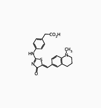 CN1CCCc2cc(/C=C3\SC(Nc4ccc(CC(=O)O)cc4)=NC3=O)ccc21